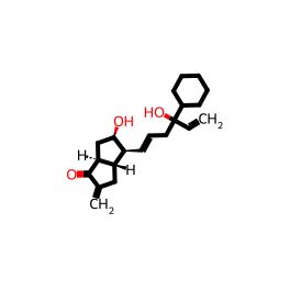 C=CC(O)(C/C=C/[C@H]1[C@@H]2CC(=C)C(=O)[C@H]2C[C@H]1O)C1CCCCC1